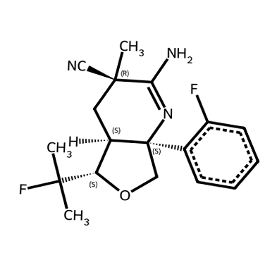 CC(C)(F)[C@H]1OC[C@]2(c3ccccc3F)N=C(N)[C@](C)(C#N)C[C@H]12